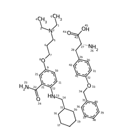 CCN(CC)CCCOc1ccc(NCC2CCCCC2)c(C(N)=O)c1.N[C@H](Cc1ccc(OCc2ccccc2)cc1)C(=O)O